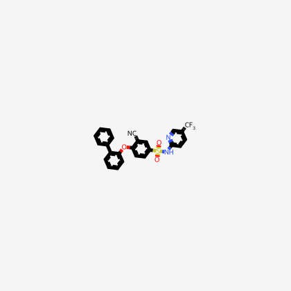 N#Cc1cc(S(=O)(=O)Nc2ccc(C(F)(F)F)cn2)ccc1Oc1ccccc1-c1ccccc1